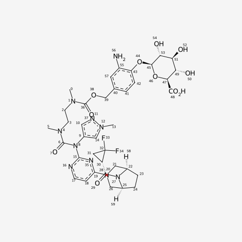 CN(CCN(C)C(=O)N(c1cnn(C)c1)c1nccc(N2C[C@H]3CC[C@@H](C2)N3C(=O)[C@@H]2CC2(F)F)n1)C(=O)OCc1ccc(O[C@@H]2O[C@H](C(=O)O)[C@@H](O)[C@H](O)[C@H]2O)c(N)c1